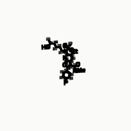 CCc1cc2c(C(=O)NC)c(-c3ccc(F)cc3)oc2nc1N(CCCCC(C)O)S(C)(=O)=O